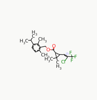 Cc1ccc(C(C)C)c(C)c1COC(=O)C1C(/C=C(\Cl)C(F)(F)F)C1(C)C